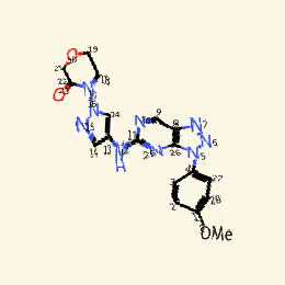 COc1ccc(-n2nnc3cnc(Nc4cnn(N5CCOCC5=O)c4)nc32)cc1